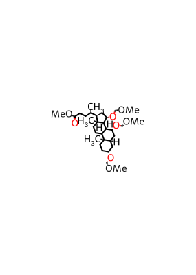 COCO[C@@H]1CC[C@]2(C)C3CC[C@@]4(C)[C@H]([C@@H]3[C@H](OCOC)C[C@@H]2C1)[C@@H](OCOC)C[C@@H]4[C@H](C)CCC(=O)OC